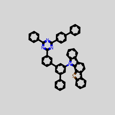 c1ccc(-c2ccc(-c3nc(-c4ccccc4)nc(-c4cccc(-c5cc(-c6ccccc6)cc(-n6c7ccccc7c7ccc8c9ccccc9sc8c76)c5)c4)n3)cc2)cc1